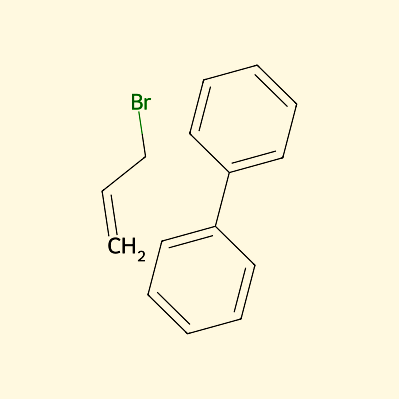 C=CCBr.c1ccc(-c2ccccc2)cc1